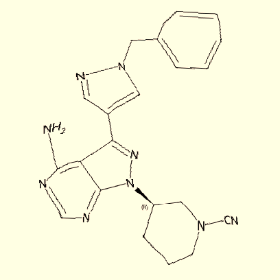 N#CN1CCC[C@@H](n2nc(-c3cnn(Cc4ccccc4)c3)c3c(N)ncnc32)C1